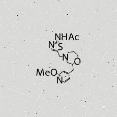 COc1cc(CC2CN(Cc3cnc(NC(C)=O)s3)CCCO2)ccn1